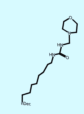 CCCCCCCCCCCCCCCCCCNC(=O)NCN1CCOCC1